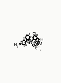 CC(OCC1(c2ccc(F)cc2)CCN(C)CC1)c1cc(Cl)cc2c1[N+](C)(OC(=O)C(F)(F)F)C(=O)N2